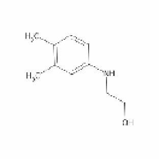 Cc1ccc(NCCO)cc1C